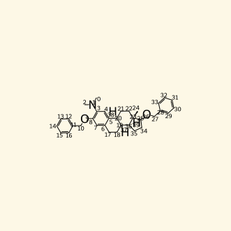 CN(C)c1cc2c(cc1OCc1ccccc1)CC[C@@H]1[C@@H]2CC[C@]2(C)[C@@H](OCc3ccccc3)CC[C@@H]12